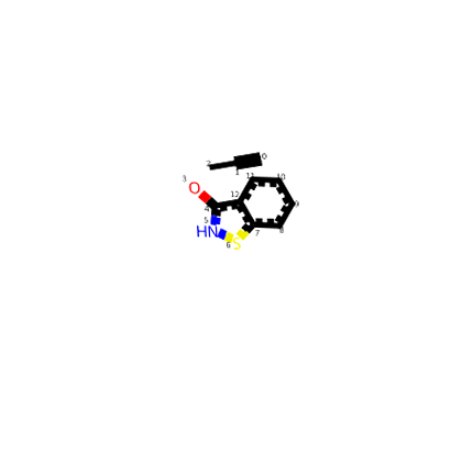 C#CC.O=c1[nH]sc2ccccc12